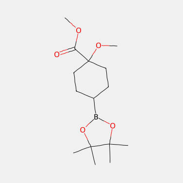 COC(=O)C1(OC)CCC(B2OC(C)(C)C(C)(C)O2)CC1